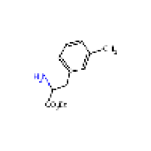 CCOC(=O)C(N)Cc1cccc(C)c1